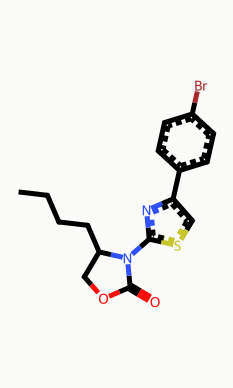 CCCCC1COC(=O)N1c1nc(-c2ccc(Br)cc2)cs1